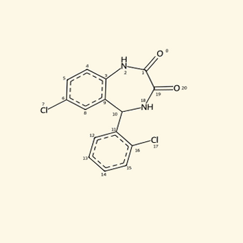 O=C1Nc2ccc(Cl)cc2C(c2ccccc2Cl)NC1=O